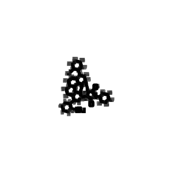 CC(C)(C)c1ccccc1-c1cc2c3c(=O)n(-c4ccccc4)c(=O)c3c3cc(-c4ccccc4I)c4ccc5ccc1c1c5c4c3c21